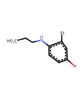 CCc1cc(Br)ccc1NCCC(=O)O